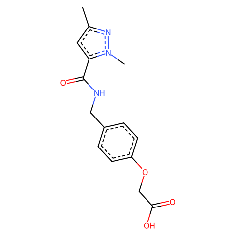 Cc1cc(C(=O)NCc2ccc(OCC(=O)O)cc2)n(C)n1